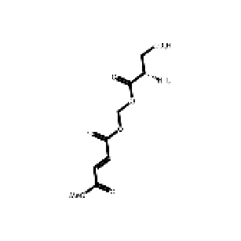 COC(=O)/C=C/C(=O)OCOC(=O)[C@@H](N)CC(=O)O